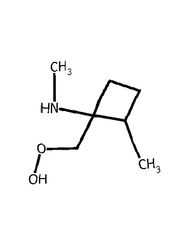 CNC1(COO)CCC1C